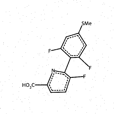 CSc1cc(F)c(-c2nc(C(=O)O)ccc2F)c(F)c1